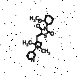 COc1ccccc1N1C(=O)S/C(=C\c2cc(C)n(-c3cccnc3)c2C)C1=O